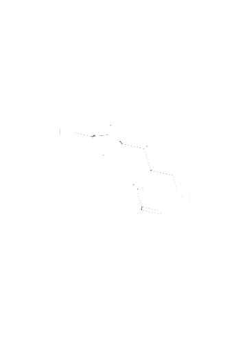 CC12CC(CC(CO)NC(=O)O)(C1)C2